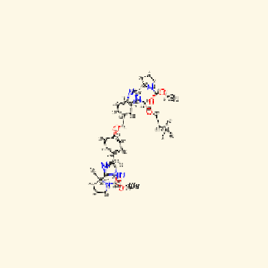 CC(C)(C)OC(=O)N1CCC[C@H]1c1nc2ccc(COc3ccc(-c4c[nH]c([C@@]5(C)CCCN5C(=O)OC(C)(C)C)n4)cc3)cc2n1COCC[Si](C)(C)C